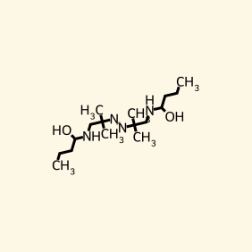 CCCC(O)NCC(C)(C)N=NC(C)(C)CNC(O)CCC